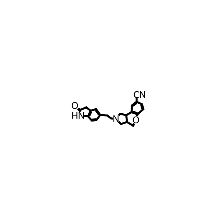 N#Cc1ccc2c(c1)C1CN(CCc3ccc4c(c3)CC(=O)N4)CC1CO2